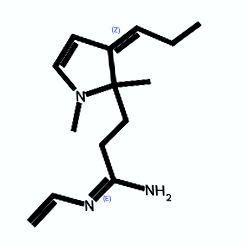 C=C/N=C(/N)CCC1(C)/C(=C\CC)C=CN1C